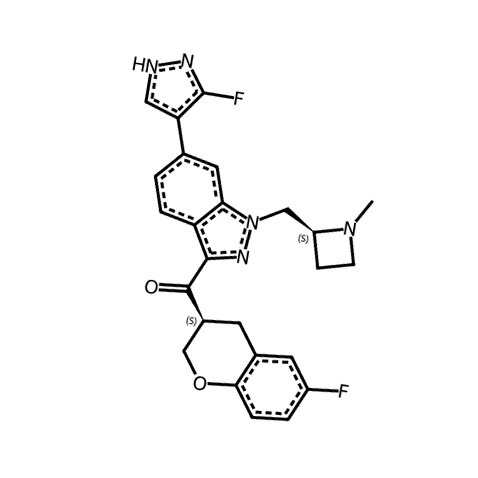 CN1CC[C@H]1Cn1nc(C(=O)[C@@H]2COc3ccc(F)cc3C2)c2ccc(-c3c[nH]nc3F)cc21